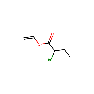 C=COC(=O)C(Br)CC